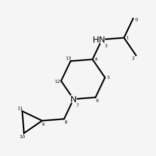 CC(C)NC1CCN(CC2CC2)CC1